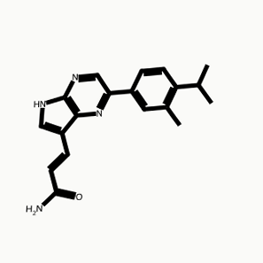 Cc1cc(-c2cnc3[nH]cc(/C=C/C(N)=O)c3n2)ccc1C(C)C